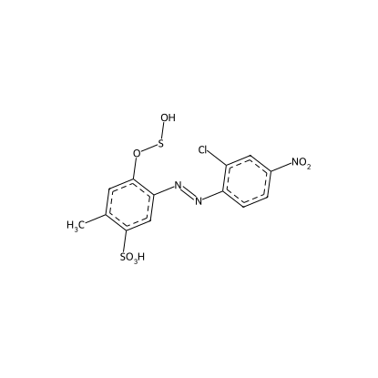 Cc1cc(OSO)c(N=Nc2ccc([N+](=O)[O-])cc2Cl)cc1S(=O)(=O)O